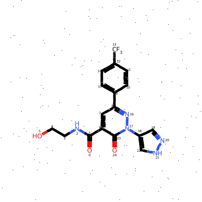 O=C(NCCO)c1cc(-c2ccc(C(F)(F)F)cc2)nn(-c2cn[nH]c2)c1=O